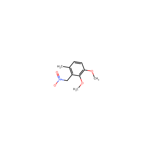 [CH2]c1ccc(OC)c(OC)c1C[N+](=O)[O-]